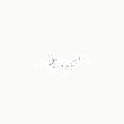 C#CC[C@@H](N)C(=O)NCC(=O)Nc1nc2ccc(OC(F)(F)F)cc2s1